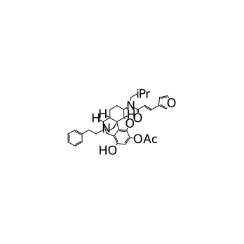 CC(=O)Oc1cc(O)c2c3c1O[C@H]1[C@H](N(CC(C)C)C(=O)/C=C/c4ccoc4)CC[C@H]4[C@@H](C2)N(CCc2ccccc2)CC[C@@]341